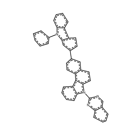 c1ccc(-n2c3ccccc3c3ccc(-c4ccc5c(ccc6c5c5ccccc5n6-c5ncc6ccccc6n5)c4)cc32)cc1